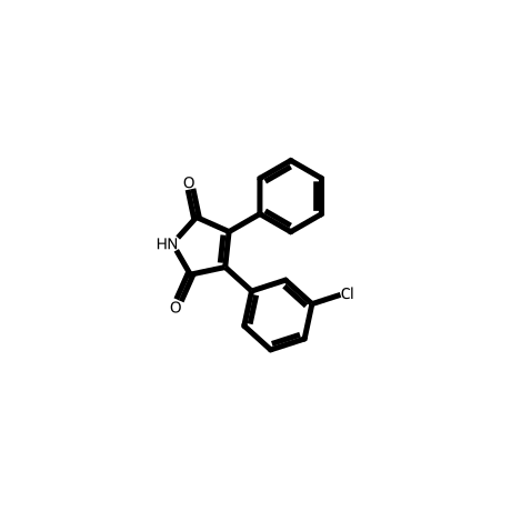 O=C1NC(=O)C(c2cccc(Cl)c2)=C1c1ccccc1